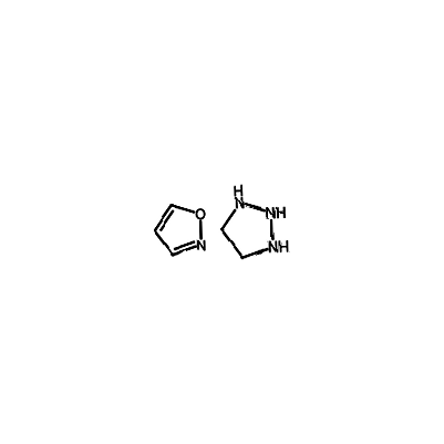 C1CNNN1.c1cnoc1